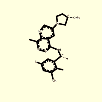 CO[C@H]1CCN(c2cnc3c(C)nnc(N[C@H](C)c4cc(F)cc(C#N)c4C)c3c2)C1